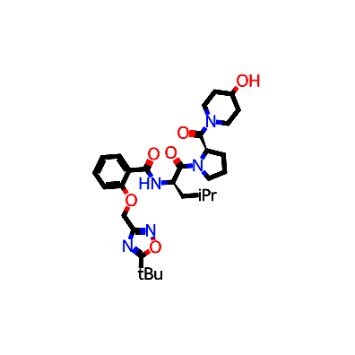 CC(C)C[C@@H](NC(=O)c1ccccc1OCc1noc(C(C)(C)C)n1)C(=O)N1CCC[C@@H]1C(=O)N1CCC(O)CC1